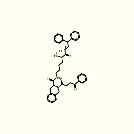 O=C(O)N[C@H](CCCCNC(=O)[C@@H]1Cc2ccccc2CN1C(=O)CCC(=O)c1ccccc1)C(=O)NCC(c1ccccc1)c1ccccc1